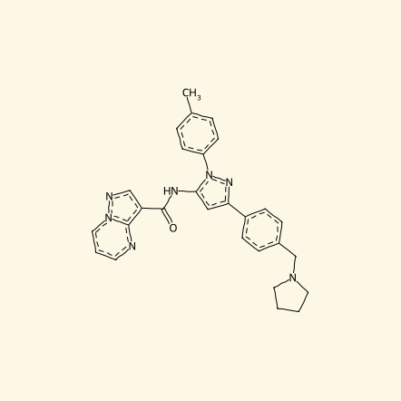 Cc1ccc(-n2nc(-c3ccc(CN4CCCC4)cc3)cc2NC(=O)c2cnn3cccnc23)cc1